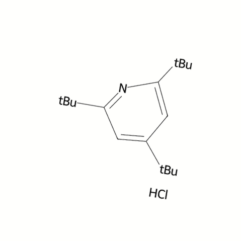 CC(C)(C)c1cc(C(C)(C)C)nc(C(C)(C)C)c1.Cl